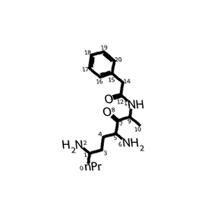 CCCC(N)CCC(N)C(=O)C(C)NC(=O)Cc1ccccc1